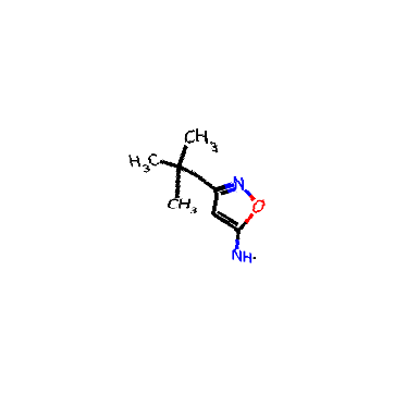 CC(C)(C)c1cc([NH])on1